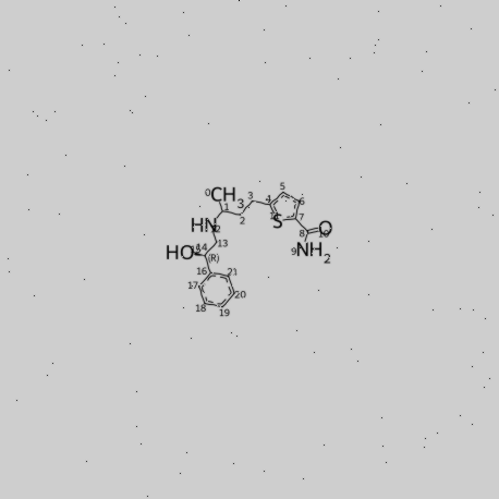 CC(CCc1ccc(C(N)=O)s1)NC[C@H](O)c1ccccc1